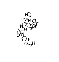 CCOC(=O)C1=C(CN2CC[C@]3(F)C(=O)N(C4C=CC(C(=O)O)=C(F)C4)C[C@@H]3C2)NC(c2nccs2)=N[C@H]1c1cccc(F)c1Cl